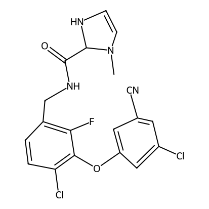 CN1C=CNC1C(=O)NCc1ccc(Cl)c(Oc2cc(Cl)cc(C#N)c2)c1F